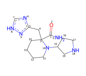 NC(=O)C1(Cc2nc[nH]n2)CCCCN1C1CCNC1